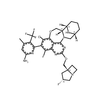 Cc1cc(N)nc(-c2c(Cl)c3c4c(nc(OC[C@@]56CCN5C[C@H](F)C6)nc4c2F)N2C[C@H]4CCC[C@H](N4)[C@H]2CO3)c1C(F)(F)F